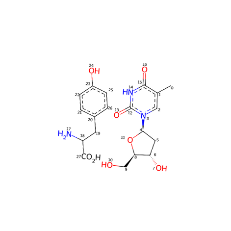 Cc1cn([C@H]2C[C@H](O)[C@@H](CO)O2)c(=O)[nH]c1=O.NC(Cc1ccc(O)cc1)C(=O)O